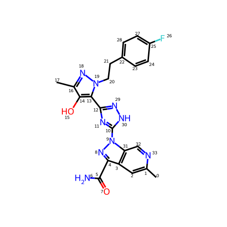 Cc1cc2c(C(N)=O)nn(-c3nc(-c4c(O)c(C)nn4CCc4ccc(F)cc4)n[nH]3)c2cn1